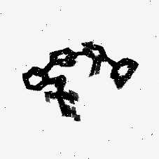 BC(F)(F)OC1=CCCC=C1c1ccc(-c2ncc(-c3ccccc3)[nH]2)o1